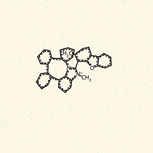 Cc1ccc2c(oc3ccccc32)c1-c1n2c3ccccc3c3ccccc3c3ccccc3c3cccc(c32)[n+]1C